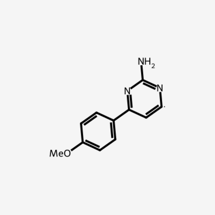 COc1ccc(-c2c[c]nc(N)n2)cc1